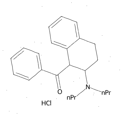 CCCN(CCC)C1CCc2ccccc2C1C(=O)c1ccccc1.Cl